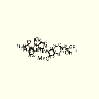 COc1cc2c(cc1Nc1ncc(Cl)c(N[C@H]3[C@@H](C(N)=O)[C@@H]4C=C[C@H]3C4)n1)CCN(C[C@H](O)C(F)(F)F)CC2